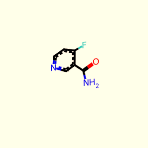 NC(=O)c1[c]nccc1F